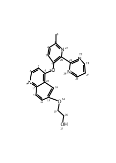 Cc1ccc(Oc2ccnc3ccc(OCCO)cc23)c(-c2ncccn2)n1